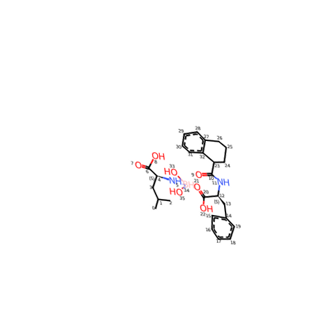 CC(C)C[C@H](N)C(=O)O.O=C(N[C@@H](Cc1ccccc1)C(=O)O)C1CCCc2ccccc21.OBO